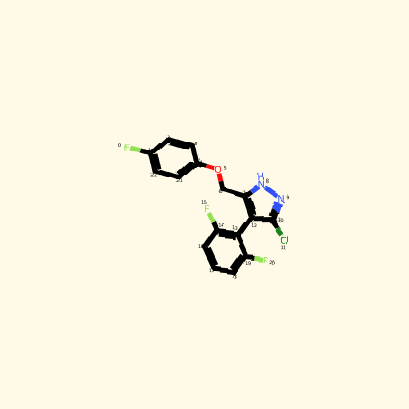 Fc1ccc(OCc2[nH]nc(Cl)c2-c2c(F)cccc2F)cc1